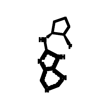 F[C@@H]1CCC[C@H]1Nc1nc2cncnc2[nH]1